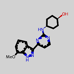 COc1cccc2c(-c3ccnc(N[C@H]4CC[C@H](O)CC4)n3)n[nH]c12